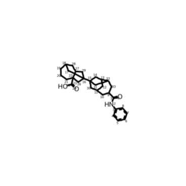 O=C(Nc1ccccc1)C1CC2CC3CC(C45CC6CCCC(C(=O)O)(C4)C(C6)C5)(C2)CC3C1